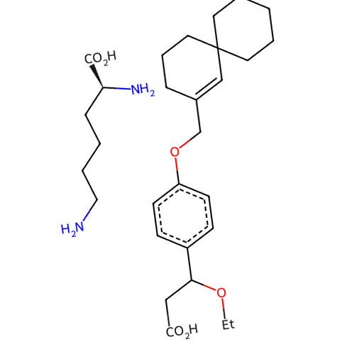 CCOC(CC(=O)O)c1ccc(OCC2=CC3(CCCCC3)CCC2)cc1.NCCCC[C@H](N)C(=O)O